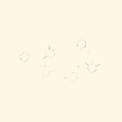 CO[C@@H]1[C@H](O[Si](C)(C)C(C)(C)C)[C@@H](CO[P@]2(=O)OC[C@H]3O[C@@H](n4ccc(=O)n(COCc5ccccc5)c4=O)[C@H](F)[C@@H]3O2)O[C@H]1n1ccc(=O)n(COCc2ccccc2)c1=O